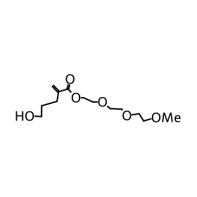 C=C(CCCO)C(=O)OCCOCCOCCOC